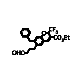 CCOC(=O)C1=Cc2cc(CCCC=O)c(Cc3ccccc3)cc2OC1C(F)(F)F